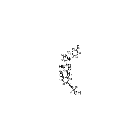 CN1C(=O)C(NC(=O)c2ccn(Cc3cccc(F)c3)n2)COc2ccc(C#CC(C)(C)O)cc21